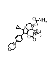 CC(C)(C)C1c2c(OC(N)=O)c(-c3ccc(N4CCOCC4)cc3)c(C3CC3)n2CCN1OC(N)=O